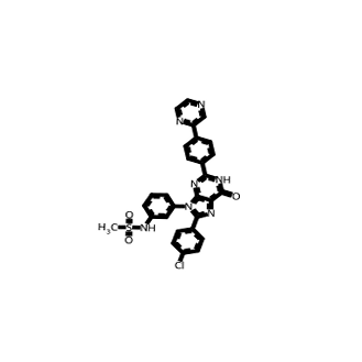 CS(=O)(=O)Nc1cccc(-n2c(-c3ccc(Cl)cc3)nc3c(=O)[nH]c(-c4ccc(-c5cnccn5)cc4)nc32)c1